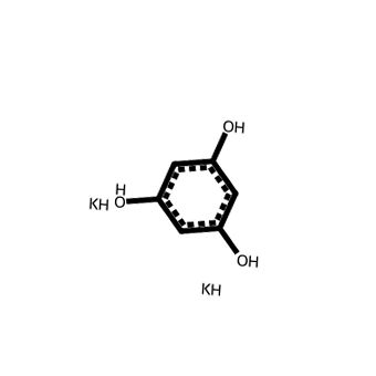 Oc1cc(O)cc(O)c1.[KH].[KH]